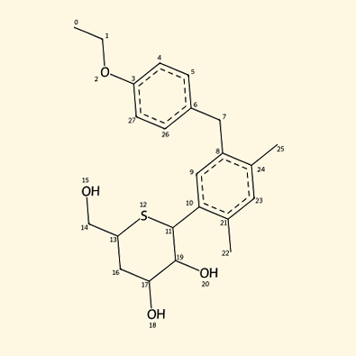 CCOc1ccc(Cc2cc(C3SC(CO)CC(O)C3O)c(C)cc2C)cc1